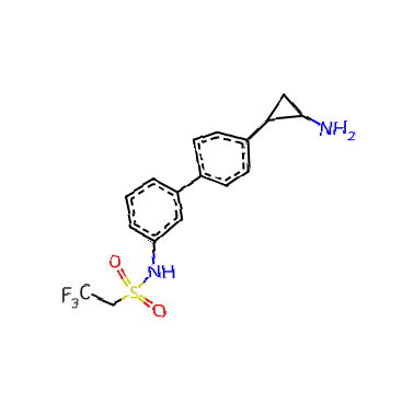 NC1CC1c1ccc(-c2cccc(NS(=O)(=O)CC(F)(F)F)c2)cc1